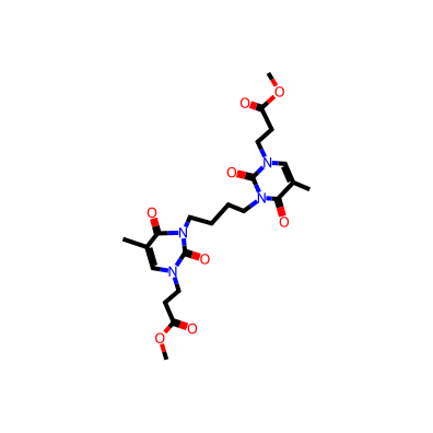 COC(=O)CCn1cc(C)c(=O)n(CCCCn2c(=O)c(C)cn(CCC(=O)OC)c2=O)c1=O